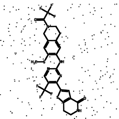 CSc1cc2c(cc1Nc1ncc(C(F)(F)F)c(-c3cc4c(s3)CCNC4=O)n1)CCN(C(=O)C(F)(F)F)C2